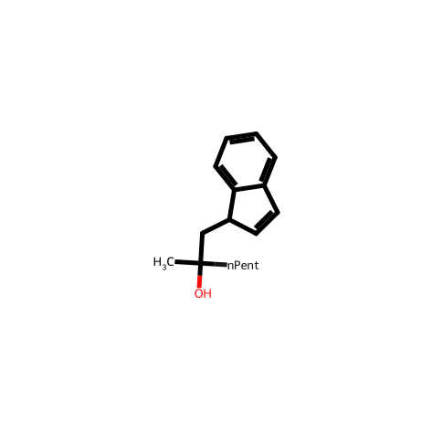 CCCCCC(C)(O)CC1C=Cc2ccccc21